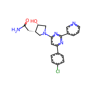 NC(=O)C[C@H]1CN(c2cc(-c3ccc(Cl)cc3)nc(-c3cccnc3)n2)C[C@H]1O